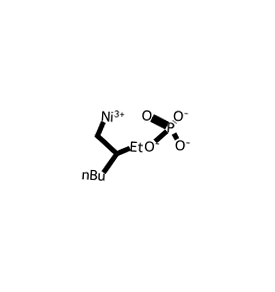 CCCCC(CC)[CH2][Ni+3].O=P([O-])([O-])[O-]